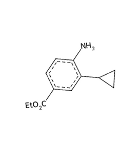 CCOC(=O)c1ccc(N)c(C2CC2)c1